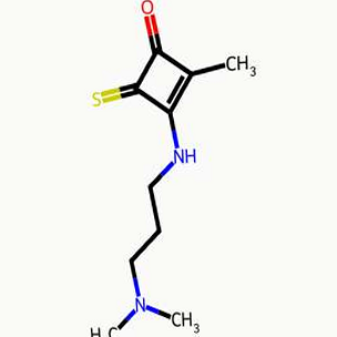 Cc1c(NCCCN(C)C)c(=S)c1=O